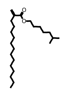 C=C(CCCCCCCCCCCCC)C(=O)OCCCCCC(C)C